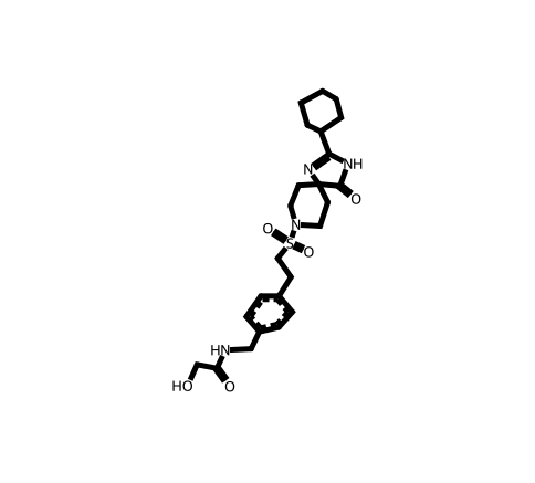 O=C(CO)NCc1ccc(CCS(=O)(=O)N2CCC3(CC2)N=C(C2CCCCC2)NC3=O)cc1